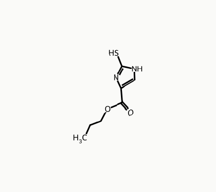 CCCOC(=O)c1c[nH]c(S)n1